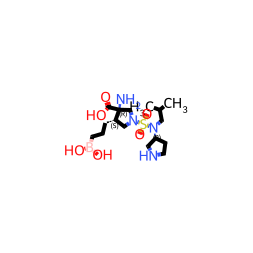 CC(C)CN([C@@H]1CCNC1)S(=O)(=O)N1C[C@H](CCCB(O)O)[C@](N)(C(=O)O)C1